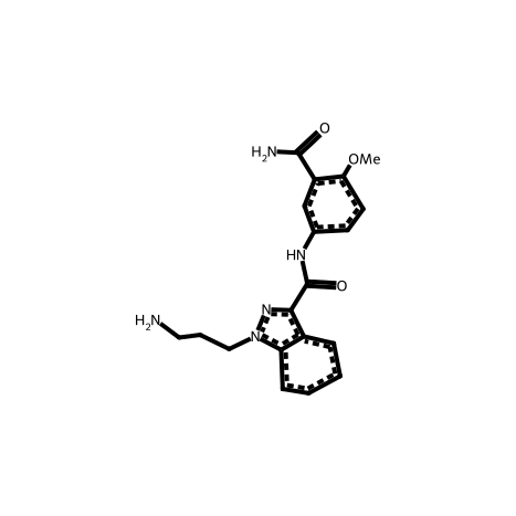 COc1ccc(NC(=O)c2nn(CCCN)c3ccccc23)cc1C(N)=O